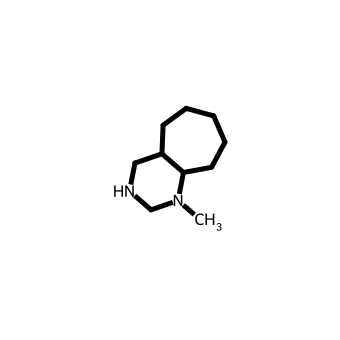 CN1CNCC2CCCCCC21